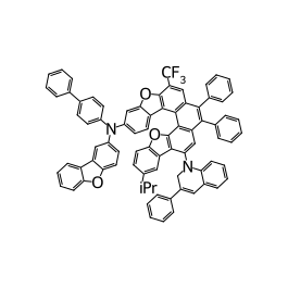 CC(C)c1ccc2oc3c(c(N4CC(c5ccccc5)=Cc5ccccc54)cc4c(-c5ccccc5)c(-c5ccccc5)c5cc(C(F)(F)F)c6oc7cc(N(c8ccc(-c9ccccc9)cc8)c8ccc9oc%10ccccc%10c9c8)ccc7c6c5c43)c2c1